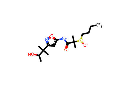 CC(O)C(C)(C)c1cc(NC(=O)C(C)(C)[S+]([O-])CCCC(F)(F)F)on1